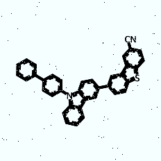 N#Cc1ccc2sc3ccc(-c4ccc5c(c4)c4ccccc4n5-c4ccc(-c5ccccc5)cc4)cc3c2c1